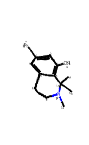 CC(C)c1cc(C#N)c2c(c1)CCN(C)C2(C)C